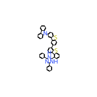 c1ccc(C2=NC(c3ccccc3)NC(c3cccc4sc5c(-c6ccc7sc8ccc(-n9c%10ccccc%10c%10ccccc%109)cc8c7c6)cccc5c34)N2)cc1